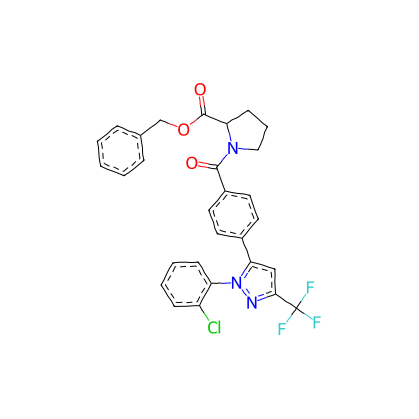 O=C(OCc1ccccc1)C1CCCN1C(=O)c1ccc(-c2cc(C(F)(F)F)nn2-c2ccccc2Cl)cc1